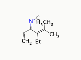 C=C/C(=N/C)C(CC)=C(C)C